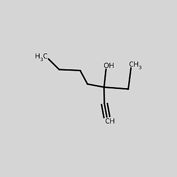 C#CC(O)(CC)CCCC